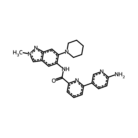 Cn1cc2cc(NC(=O)c3cccc(-c4ccc(N)nc4)n3)c(N3CCCCC3)cc2n1